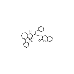 COc1ccccc1N1CCCC[C@H](NC(=O)[C@H](CC[C@H](Cc2ccccc2)C(=O)O)Cc2ccccc2)C1=O